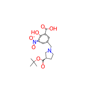 CC(C)(C)OC(=O)[C@@H]1CCN(Cc2cc(C(=O)O)c(O)c([N+](=O)[O-])c2)C1